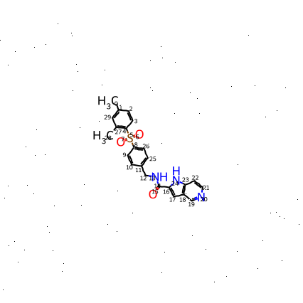 Cc1ccc(S(=O)(=O)c2ccc(CNC(=O)c3cc4cnccc4[nH]3)cc2)c(C)c1